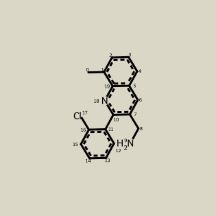 Cc1cccc2cc(CN)c(-c3ccccc3Cl)nc12